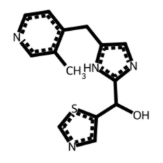 Cc1cnccc1Cc1cnc(C(O)c2cncs2)[nH]1